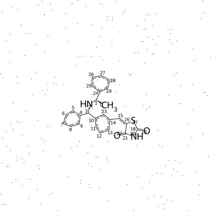 C[C@@H](NC(c1ccccc1)c1cccc(C=C2SC(=O)NC2=O)c1)c1ccccc1